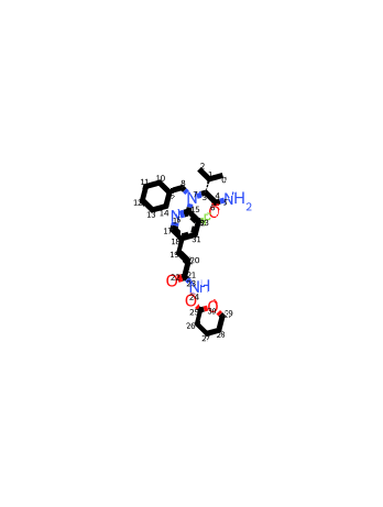 CC(C)[C@H](C(N)=O)N(CC1CCCCC1)c1ncc(/C=C/C(=O)NOC2CCCCO2)cc1F